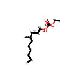 CCCCCCC(C)/C=C/COC(=O)OCC